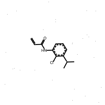 C=CC(=O)Nc1cccc(C(C)C)c1Cl